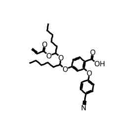 C=CC(=O)OC(CCCCC)OC(CCCCC)Oc1ccc(C(=O)O)c(Oc2ccc(C#N)cc2)c1